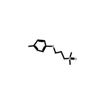 Cc1ccc(SCCCP(C)(C)=O)cc1